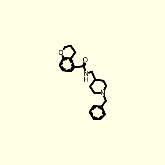 O=C(NCC1CCN(Cc2ccccc2)CC1)c1cccc2c1CCCO2